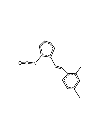 Cc1ccc(C=Cc2ccccc2N=C=O)c(C)c1